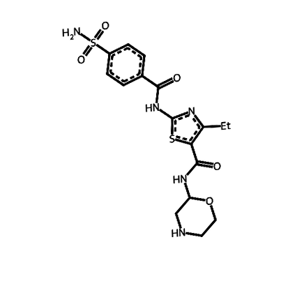 CCc1nc(NC(=O)c2ccc(S(N)(=O)=O)cc2)sc1C(=O)NC1CNCCO1